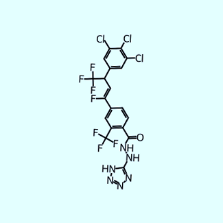 O=C(NNc1nnn[nH]1)c1ccc(C(F)=CC(c2cc(Cl)c(Cl)c(Cl)c2)C(F)(F)F)cc1C(F)(F)F